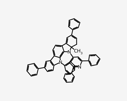 CC12CC=C(c3ccccc3)C=C1c1ccc3c4cc(-c5ccccc5)ccc4n(-c4ccccc4)c3c1N2c1cc(-c2ccccc2)nc(-c2ccccc2)c1